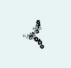 C[C@@H]1[C@H](NC(=O)c2cc3c(n2C)CC(C)(C)C3)CCCN1c1cnc(C(N)=O)c(Nc2ccc(C3(C)CCN(C4CCCC4)CC3)cc2)n1